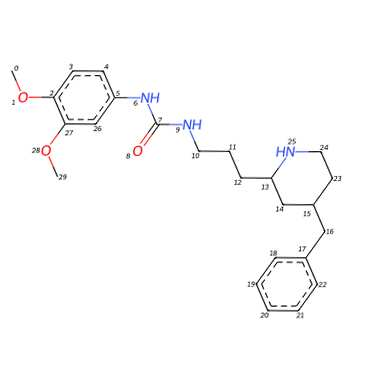 COc1ccc(NC(=O)NCCCC2CC(Cc3ccccc3)CCN2)cc1OC